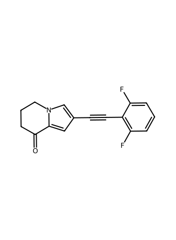 O=C1CCCn2cc(C#Cc3c(F)cccc3F)cc21